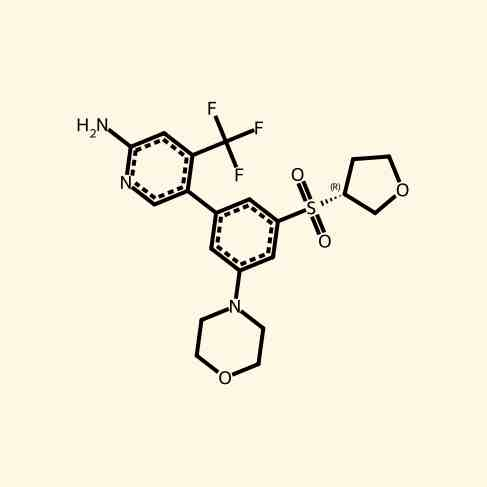 Nc1cc(C(F)(F)F)c(-c2cc(N3CCOCC3)cc(S(=O)(=O)[C@@H]3CCOC3)c2)cn1